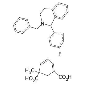 CC1(C(=O)O)C=CC=C(C(=O)O)C1.Fc1ccc(C2c3ccccc3CCN2Cc2ccccc2)cc1